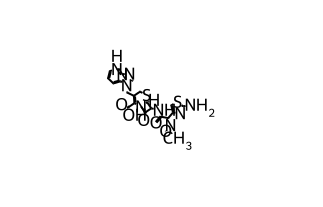 CO/N=C(\C(=O)NC1C(=O)N2C(C(=O)O)=C(CN3C=NN4NC=CC=C34)CS[C@@H]12)c1csc(N)n1